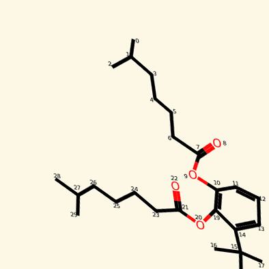 CC(C)CCCCC(=O)Oc1cccc(C(C)(C)C)c1OC(=O)CCCCC(C)C